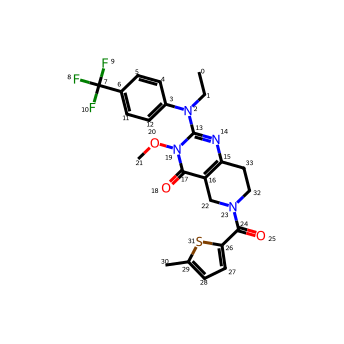 CCN(c1ccc(C(F)(F)F)cc1)c1nc2c(c(=O)n1OC)CN(C(=O)c1ccc(C)s1)CC2